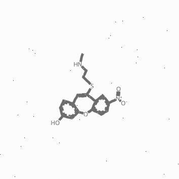 CNCCSC1=Cc2ccc(O)cc2Oc2ccc([N+](=O)[O-])cc21